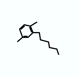 [CH2]CCCCCc1cc(C)ccc1C